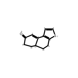 O=C1C=C2c3ccsc3CCC2CC1